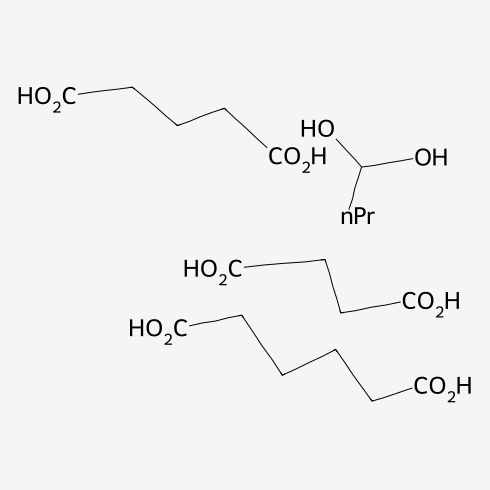 CCCC(O)O.O=C(O)CCC(=O)O.O=C(O)CCCC(=O)O.O=C(O)CCCCC(=O)O